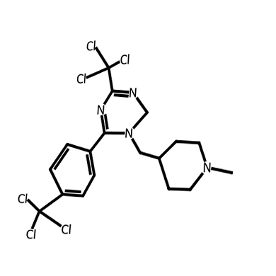 CN1CCC(CN2CN=C(C(Cl)(Cl)Cl)N=C2c2ccc(C(Cl)(Cl)Cl)cc2)CC1